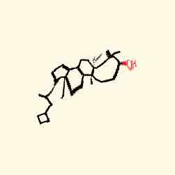 CC(CC1CCC1)[C@H]1CC=C2C3=C(CC[C@@]21C)[C@@]1(C)CC[C@H](O)C(C)(C)[C@@H]1CC3